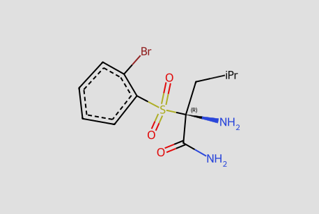 CC(C)C[C@](N)(C(N)=O)S(=O)(=O)c1ccccc1Br